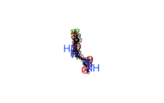 CC(=O)Nc1ccn(CCCCc2ccc(NC(=O)Cc3cccc(OC(F)(F)F)c3)nn2)c(=O)n1